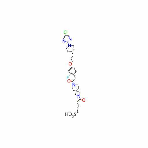 O=C(Cc1ccc(OCCCC2CCN(c3ncc(Cl)cn3)CC2)cc1F)N1CCC2(CC1)CN(C(=O)CCCCS(=O)(=O)O)C2